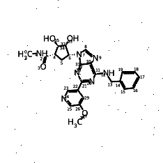 CNC(=O)[C@H]1C[C@@H](n2cnc3c(NCc4ccccc4)nc(-c4cncc(OC)c4)nc32)[C@H](O)[C@@H]1O